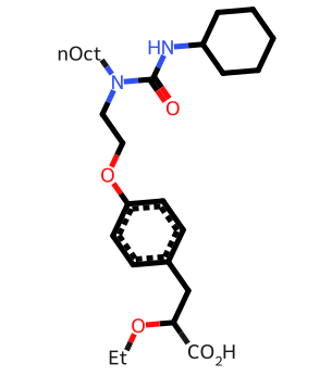 CCCCCCCCN(CCOc1ccc(CC(OCC)C(=O)O)cc1)C(=O)NC1CCCCC1